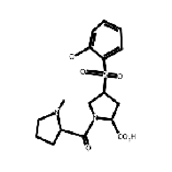 CN1CCCC1C(=O)N1CC(S(=O)(=O)c2ccccc2Cl)CC1C(=O)O